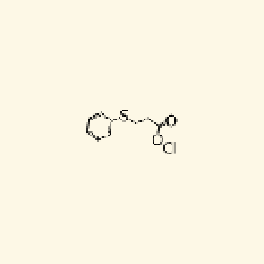 O=C(CCSc1ccccc1)OCl